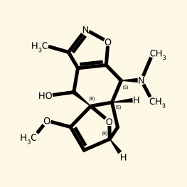 COC1=C[C@H]2C[C@H]3[C@H](N(C)C)c4onc(C)c4C(O)[C@@]13O2